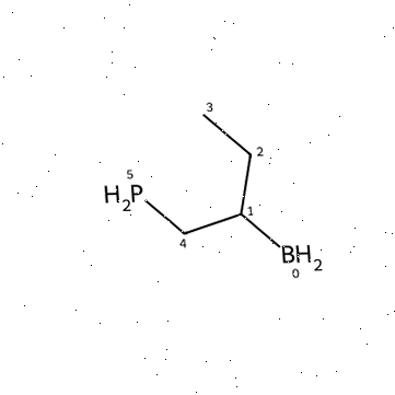 BC(CC)CP